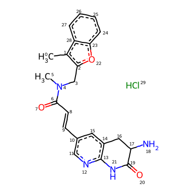 Cc1c(CN(C)C(=O)C=Cc2cnc3c(c2)CC(N)C(=O)N3)oc2ccccc12.Cl